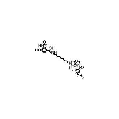 Cc1cc(C(=O)N2CCOC3(CCN(CCCCCCCCCNC[C@H](O)c4ccc(O)c5[nH]c(=O)sc45)CC3)C2)c(C)s1